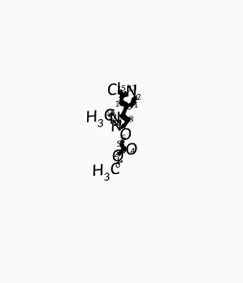 CCOC(=O)COc1cc(-c2ccnc(Cl)c2)n(C)n1